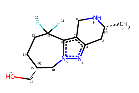 C[C@@H]1Cc2nn3c(c2CN1)C(F)(F)CC[C@@H](CO)C3